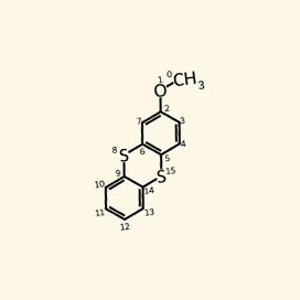 COc1ccc2c(c1)Sc1ccccc1S2